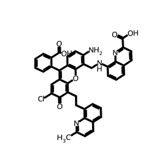 Cc1ccc2cccc(CCc3c4oc5c(CNc6cccc7ccc(C(=O)O)nc67)c(N)ccc5c(-c5ccccc5C(=O)O)c-4cc(Cl)c3=O)c2n1